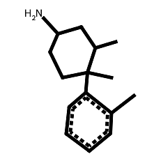 Cc1ccccc1C1(C)CCC(N)CC1C